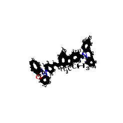 CC1(C)c2cc(/C=C/C3=CC=C(N4c5ccccc5Oc5ccccc54)CC3)ccc2-c2ccc(N3c4ccccc4Cc4ccccc43)cc21